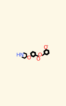 COc1cccc(COC(=O)c2cccc(OC3CCNCC3)c2)c1